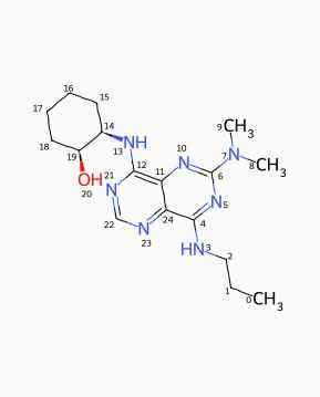 CCCNc1nc(N(C)C)nc2c(N[C@@H]3CCCC[C@@H]3O)ncnc12